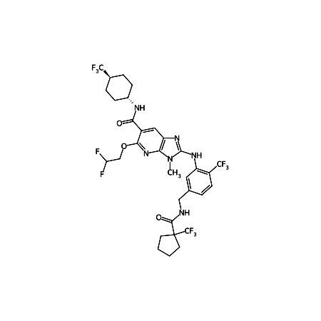 Cn1c(Nc2cc(CNC(=O)C3(C(F)(F)F)CCCC3)ccc2C(F)(F)F)nc2cc(C(=O)N[C@H]3CC[C@H](C(F)(F)F)CC3)c(OCC(F)F)nc21